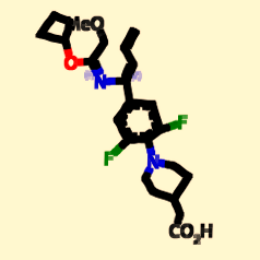 C=C/C=C(\N=C(/COC)OC1CCC1)c1cc(F)c(N2CCC(CC(=O)O)CC2)c(F)c1